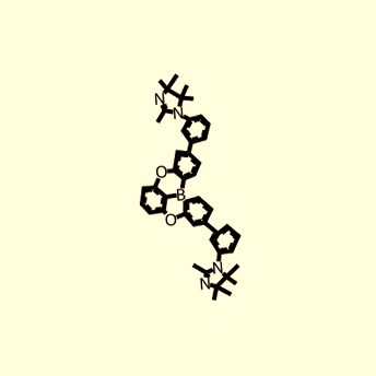 CC1=NC(C)(C)C(C)(C)N1c1cccc(-c2ccc3c(c2)Oc2cccc4c2B3c2ccc(-c3cccc(N5C(C)=NC(C)(C)C5(C)C)c3)cc2O4)c1